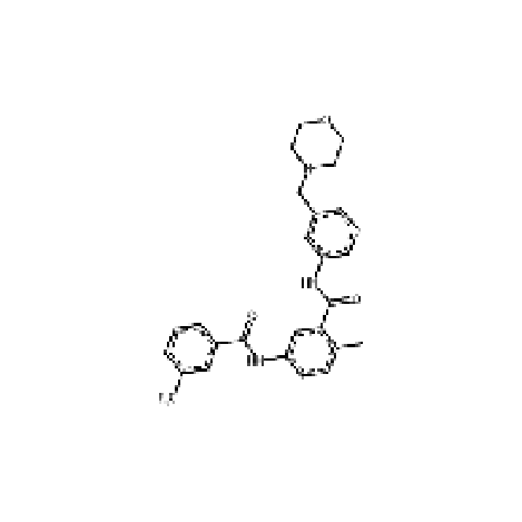 Cc1ccc(NC(=O)c2cccc(C(F)(F)F)c2)cc1C(=O)Nc1cncc(CN2CCOCC2)c1